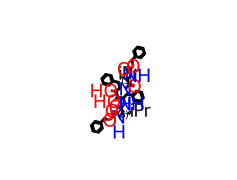 CC(C)C[C@H](NC(=O)OCc1ccccc1)C(=O)NC(Cc1ccccc1)C(O)C(O)C(Cc1ccccc1)NC(=O)[C@H](CC(C)C)NC(=O)OCc1ccccc1